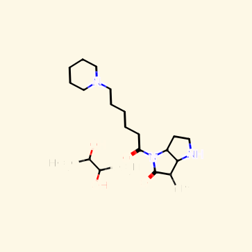 CCCC1C(=O)N(C(=O)CCCCCN2CCCCC2)C2CCNC12.O=C(O)C(O)C(O)C(=O)O